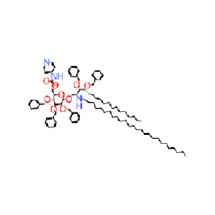 CCCCCCCCCCCCCCCCCCCCCCCCCCN[C@@H](CO[C@H]1O[C@H](COC(=O)Nc2ccncc2)[C@H](OCc2ccccc2)[C@H](OCc2ccccc2)[C@H]1OCc1ccccc1)[C@H](OCc1ccccc1)[C@@H](CCCCCCCCCCCCCC)OCc1ccccc1